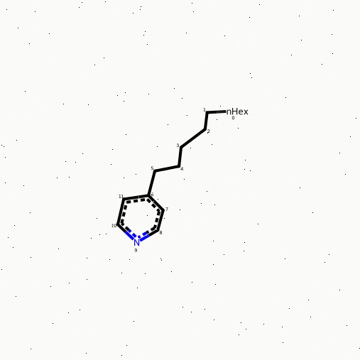 CCCCCCCCCCCc1ccncc1